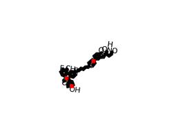 Cc1cc([C@@H]2COc3cc(O)ccc3[C@@H]2c2ccc(OCCCCCN3CCN(c4ccc5c(c4)CN(C4CCC(=O)NC4=O)C5=O)CC3)cc2)ccc1F